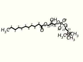 CCCCCCCCCCC(=O)OC[C@@H](O)COP(=O)([O-])OCC[N+](C)(C)C